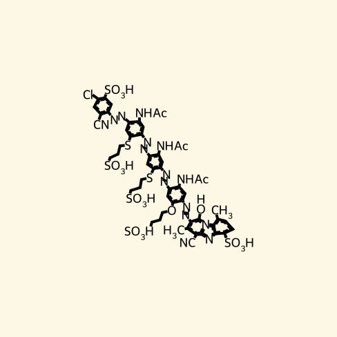 CC(=O)Nc1cc(N=Nc2cc(SCCCS(=O)(=O)O)c(N=Nc3cc(OCCCS(=O)(=O)O)c(N=Nc4c(C)c(C#N)c5nc6c(S(=O)(=O)O)ccc(C)c6n5c4O)cc3NC(C)=O)cc2NC(C)=O)c(SCCCS(=O)(=O)O)cc1N=Nc1cc(S(=O)(=O)O)c(Cl)cc1C#N